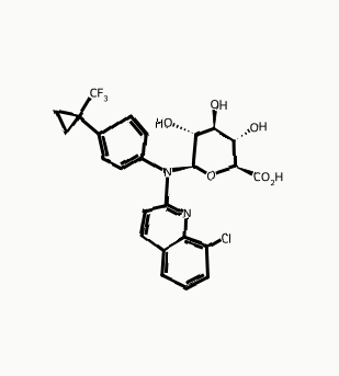 O=C(O)[C@H]1O[C@@H](N(c2ccc(C3(C(F)(F)F)CC3)cc2)c2ccc3cccc(Cl)c3n2)[C@H](O)[C@@H](O)[C@@H]1O